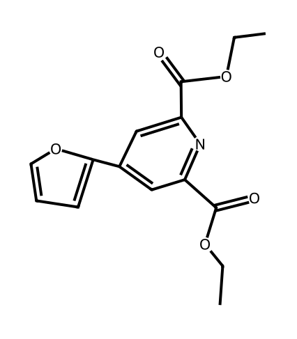 CCOC(=O)c1cc(-c2ccco2)cc(C(=O)OCC)n1